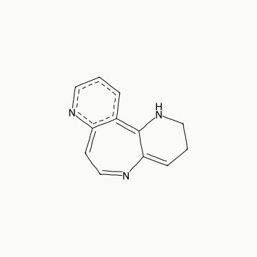 C1=NC2=CCCNC2=c2cccnc2=C1